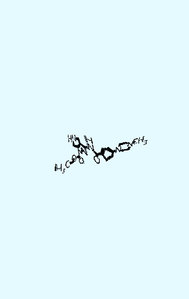 CCOC(=O)n1nc(NC(=O)c2ccc(N3CCN(C)CC3)cc2)c2c1CNC2